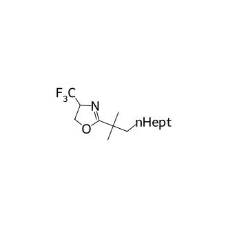 CCCCCCCCC(C)(C)C1=NC(C(F)(F)F)CO1